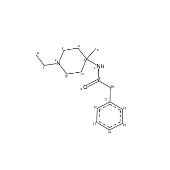 CCN1CCC(C)(NC(=O)Cc2ccccc2)CC1